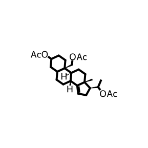 CC(=O)OC[C@]12CCC(OC(C)=O)CC1CC[C@H]1C3=CC[C@H](C(C)OC(C)=O)[C@@]3(C)CC[C@@H]12